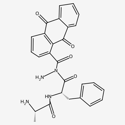 C[C@H](N)C(=O)N[C@@H](Cc1ccccc1)C(=O)N(N)C(=O)c1cccc2c1C(=O)c1ccccc1C2=O